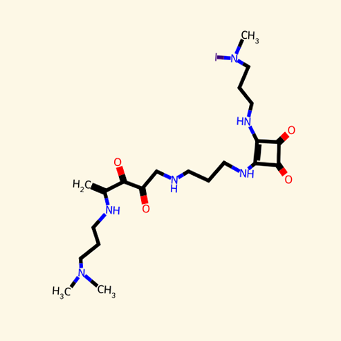 C=C(NCCCN(C)C)C(=O)C(=O)CNCCCNc1c(NCCCN(C)I)c(=O)c1=O